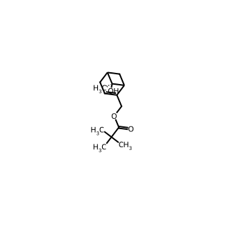 CC(C)(C)C(=O)OCC1=CCC2CC1[C@@]2(C)O